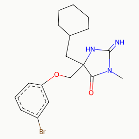 CN1C(=N)NC(COc2cccc(Br)c2)(CC2CCCCC2)C1=O